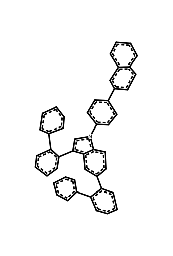 c1ccc(-c2ccccc2-c2ccc3c(c2)c(-c2ccccc2-c2ccccc2)cn3-c2ccc(-c3ccc4ccccc4c3)cc2)cc1